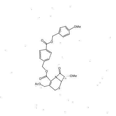 COc1ccc(COC(=O)c2ccc(COC(=O)C3=C(COC(C)=O)CSC4[C@@H](OC)C(=O)N34)cc2)cc1